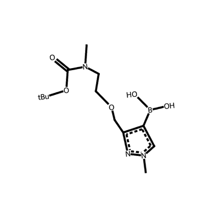 CN(CCOCc1nn(C)cc1B(O)O)C(=O)OC(C)(C)C